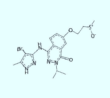 Cc1[nH]nc(Nc2nn(C(C)C)c(=O)c3cc(OCC[S+](C)[O-])ccc23)c1Br